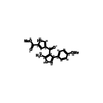 COC(=O)c1cc(C(=O)c2c(-c3ccc(OC)cc3)noc2C)c[nH]1